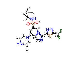 C[C@H]1CN(c2cc(S(=O)(=O)NC3(C)CC3(C)C)cn3c(-c4nnc(C(F)F)s4)ncc23)C[C@H](C)N1